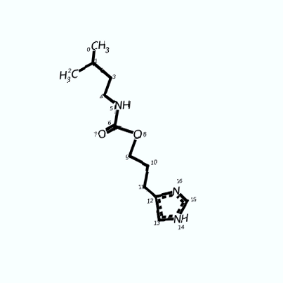 CC(C)CCNC(=O)OCCCc1c[nH]cn1